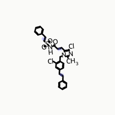 Cc1nc(Cl)c(/C=C/C(=O)NS(=O)(=O)/C=C/c2ccccc2)n1Cc1ccc(/C=C/c2ccccc2)cc1Cl